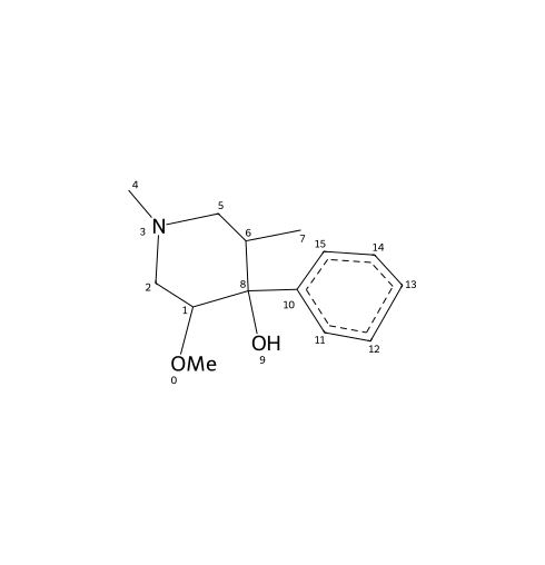 COC1CN(C)CC(C)C1(O)c1ccccc1